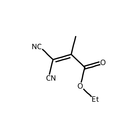 CCOC(=O)C(C)=C(C#N)C#N